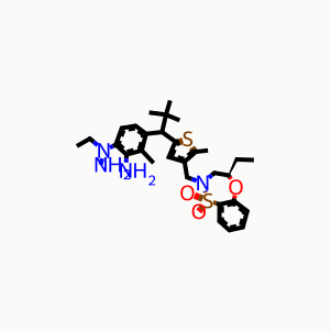 CC[C@@H]1CN(Cc2cc(C(c3ccc(N(N)CC)c(N)c3C)C(C)(C)C)sc2C)S(=O)(=O)c2ccccc2O1